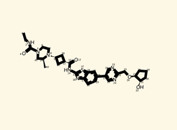 CCNC(=O)N1CCN([C@H]2C[C@@H](C(=O)Nc3nc4ccc(-c5cnc(CO[C@H]6CCC[C@@H]6O)nc5)cc4s3)C2)[C@@H](C)C1